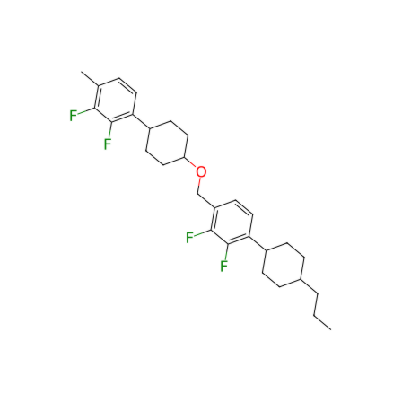 CCCC1CCC(c2ccc(COC3CCC(c4ccc(C)c(F)c4F)CC3)c(F)c2F)CC1